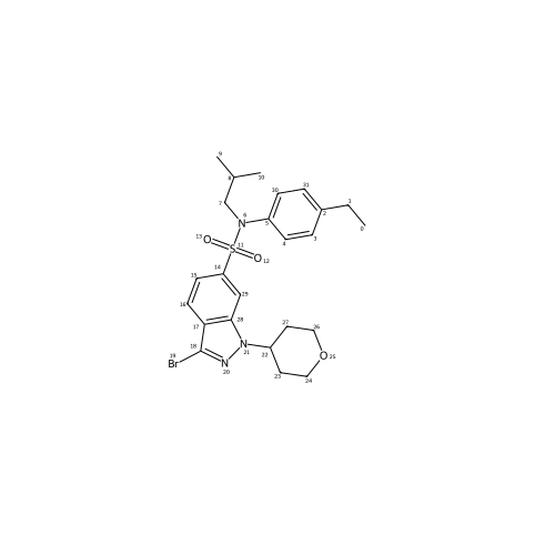 CCc1ccc(N(CC(C)C)S(=O)(=O)c2ccc3c(Br)nn(C4CCOCC4)c3c2)cc1